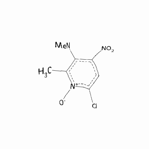 CNc1c([N+](=O)[O-])cc(Cl)[n+]([O-])c1C